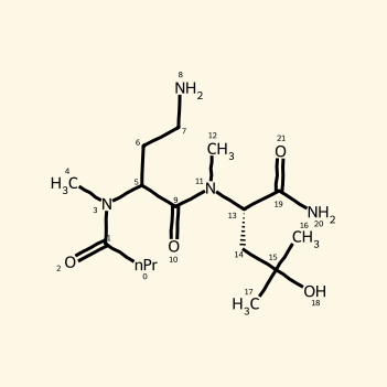 CCCC(=O)N(C)C(CCN)C(=O)N(C)[C@@H](CC(C)(C)O)C(N)=O